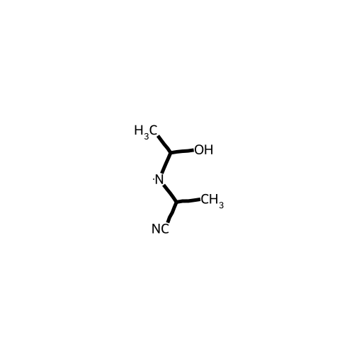 CC(O)[N]C(C)C#N